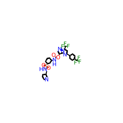 O=C(Nc1cccc(S(=O)(=O)NCc2cccnc2)c1)Oc1cnn2c(C(F)(F)F)cc(-c3ccc(C(F)(F)F)cc3)nc12